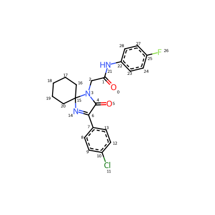 O=C(CN1C(=O)C(c2ccc(Cl)cc2)=NC12CCCCC2)Nc1ccc(F)cc1